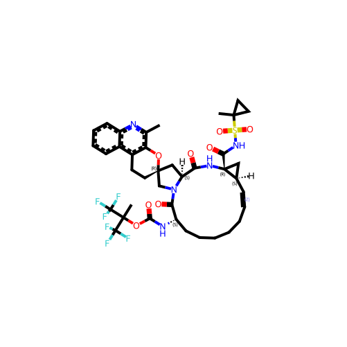 Cc1nc2ccccc2c2c1O[C@]1(CC2)C[C@H]2C(=O)N[C@]3(C(=O)NS(=O)(=O)C4(C)CC4)C[C@H]3/C=C\CCCCC[C@H](NC(=O)OC(C)(C(F)(F)F)C(F)(F)F)C(=O)N2C1